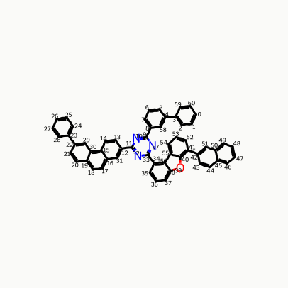 c1ccc(-c2cccc(-c3nc(-c4ccc5c(ccc6ccc(-c7ccccc7)cc65)c4)nc(-c4cccc5oc6c(-c7ccc8ccccc8c7)cccc6c45)n3)c2)cc1